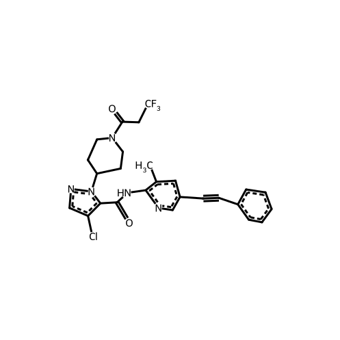 Cc1cc(C#Cc2ccccc2)cnc1NC(=O)c1c(Cl)cnn1C1CCN(C(=O)CC(F)(F)F)CC1